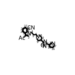 CC(=O)c1cn(CCCN2CCC(c3nc(-c4cccnc4)no3)CC2)c2c(C#N)cccc12